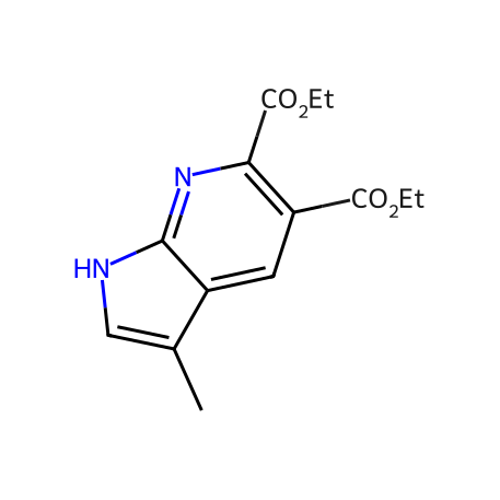 CCOC(=O)c1cc2c(C)c[nH]c2nc1C(=O)OCC